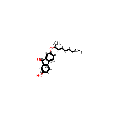 CCCCCCC(C)Oc1ccc2c(c1)C(=O)c1cc(O)ccc1-2